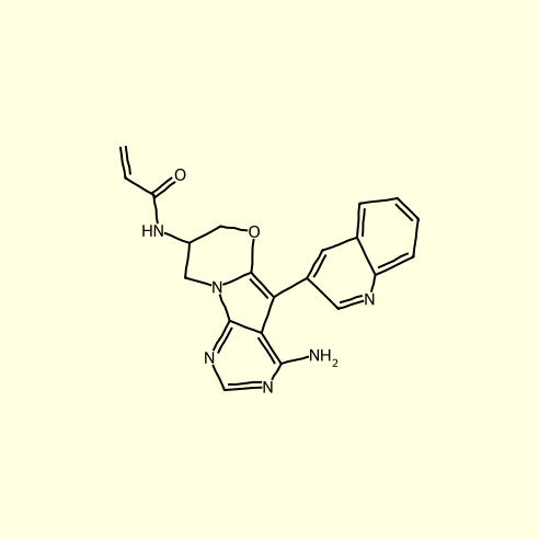 C=CC(=O)NC1COc2c(-c3cnc4ccccc4c3)c3c(N)ncnc3n2C1